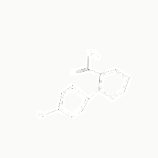 CC(=O)c1ccccc1-c1ccc(Br)cc1